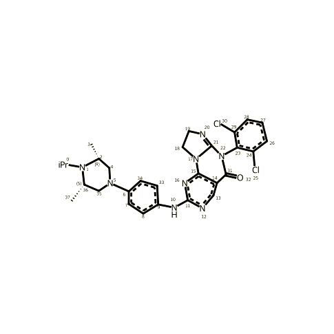 CC(C)N1[C@H](C)CN(c2ccc(Nc3ncc4c(n3)N3CCN=C3N(c3c(Cl)cccc3Cl)C4=O)cc2)C[C@@H]1C